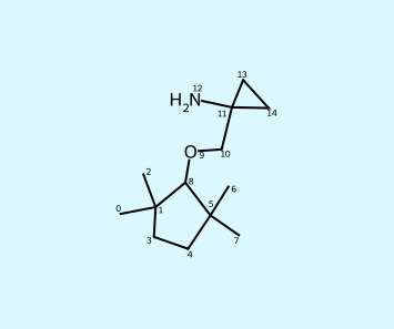 CC1(C)CCC(C)(C)C1OCC1(N)CC1